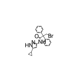 O=C(Nc1cc(C2CC2)[nH]n1)C(CBr)(c1ccccc1)c1ccccc1